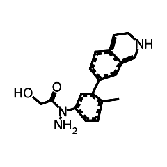 Cc1ccc(N(N)C(=O)CO)cc1-c1ccc2c(c1)=CNCC=2